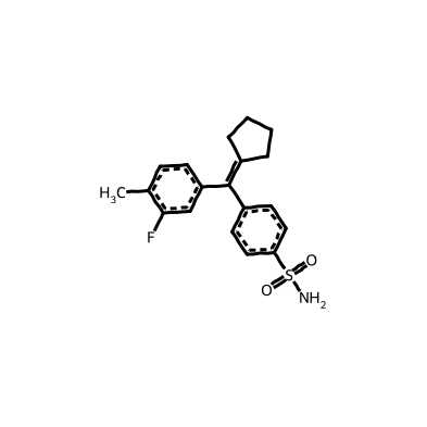 Cc1ccc(C(=C2CCCC2)c2ccc(S(N)(=O)=O)cc2)cc1F